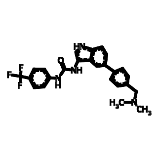 CN(C)Cc1ccc(-c2ccc3[nH]cc(NC(=O)Nc4ccc(C(F)(F)F)cc4)c3c2)cc1